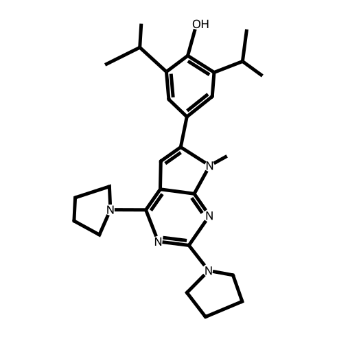 CC(C)c1cc(-c2cc3c(N4CCCC4)nc(N4CCCC4)nc3n2C)cc(C(C)C)c1O